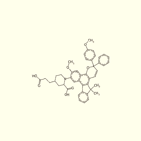 COc1ccc(C2(c3ccccc3)C=Cc3c4c(c5cc(N6CCC(CCC(=O)O)CC6C(=O)O)c(OC)cc5c3O2)-c2ccccc2C4(C)C)cc1